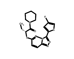 CC[C@@H](Sc1ccc2nnc(-c3cc(F)cs3)n2n1)C(=O)N1CCCCC1